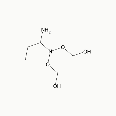 CCC(N)N(OCO)OCO